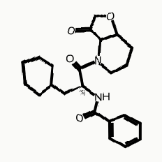 O=C(N[C@@H](CC1CCCCC1)C(=O)N1CCCC2OCC(=O)C21)c1ccccc1